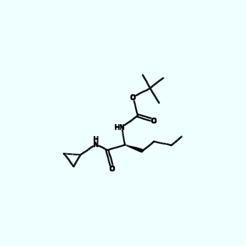 CCCC[C@H](NC(=O)OC(C)(C)C)C(=O)NC1CC1